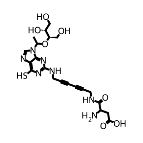 CC(O[C@H](CO)[C@H](O)CO)n1cnc2c(S)nc(NCC#CC#CCNC(=O)C(N)CC(=O)O)nc21